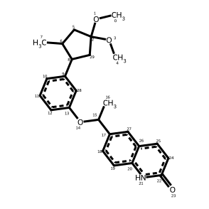 COC1(OC)CC(C)C(c2cccc(OC(C)c3ccc4[nH]c(=O)ccc4c3)c2)C1